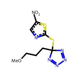 COCCCC1(Sc2ncc([N+](=O)[O-])s2)N=NN=N1